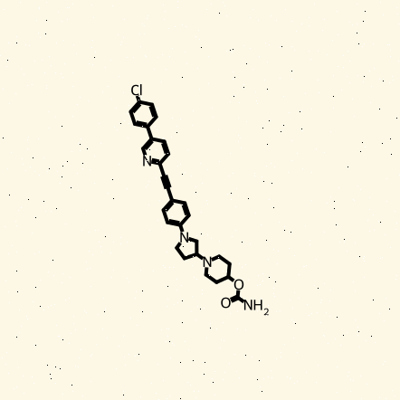 NC(=O)OC1CCN(C2CCN(c3ccc(C#Cc4ccc(-c5ccc(Cl)cc5)cn4)cc3)C2)CC1